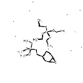 CCO[Si](OCC)(OCC)OCC.CO[Si](CCC1CCC2OC2C1)(OC)OC